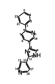 c1ccc(-c2ccc(-c3c[nH]c(-c4ccncc4)n3)cn2)cc1